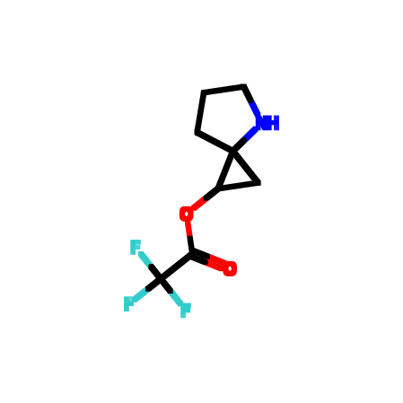 O=C(OC1CC12CCCN2)C(F)(F)F